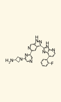 NC1CN(c2cncc(-c3cc4c(-c5nc6c(-c7ccccc7F)ccnc6[nH]5)n[nH]c4cn3)n2)C1